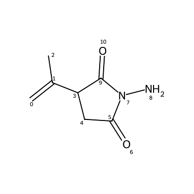 C=C(C)C1CC(=O)N(N)C1=O